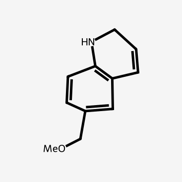 COCc1ccc2c(c1)C=CCN2